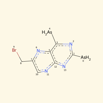 [AsH2]c1nc([AsH2])c2nc(CBr)cnc2n1